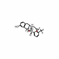 CN([C@@H]1[C@H]2Cc3ccc(O)cc3[C@@]1(C)CCN2CC1CC1)S(=O)(=O)c1cccc(C(F)(F)F)c1